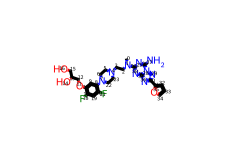 CN(CCN1CCN(c2cc(OCC(O)CO)c(F)cc2F)CC1)c1nc(N)n2nc(-c3ccco3)nc2n1